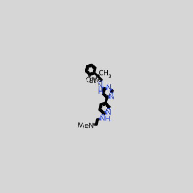 CC[C@](C)(CNc1cc(-c2ccc(NCCNC)nc2)ncn1)c1ccccc1OC